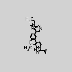 CCn1cnc2c(-c3ccc(F)c(-c4ccn5c(C6CC6)nnc5c4OC)c3)cnnc21